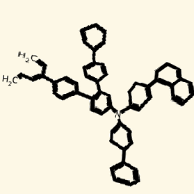 C=C/C=C(\C=C)c1ccc(-c2ccc(N(C3=CCC(c4ccccc4)C=C3)C3=CC=C(C4=c5ccccc5=CCC4)CC3)cc2-c2ccc(C3=CCCC=C3)cc2)cc1